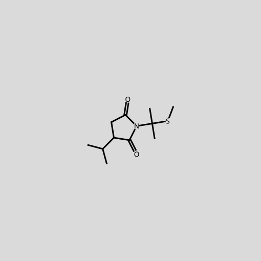 CSC(C)(C)N1C(=O)CC(C(C)C)C1=O